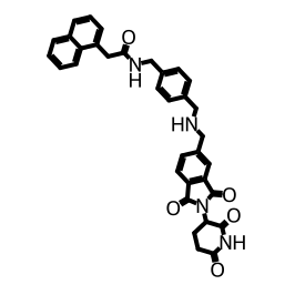 O=C(Cc1cccc2ccccc12)NCc1ccc(CNCc2ccc3c(c2)C(=O)N(C2CCC(=O)NC2=O)C3=O)cc1